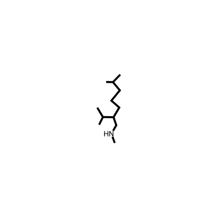 CNCC(CCCC(C)C)C(C)C